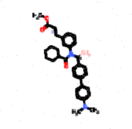 B[C@H](c1ccc(-c2ccc(N(C)C)cc2)cc1)N(C(=O)C1CCCCC1)c1cccc(/C=C/C(=O)OC)c1